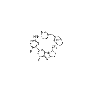 Fc1cnc(Nc2ccc(CN3CC4CCC(C3)N4)cn2)nc1-c1cc(F)c2nc3n(c2c1)C(C(F)(F)F)CC3